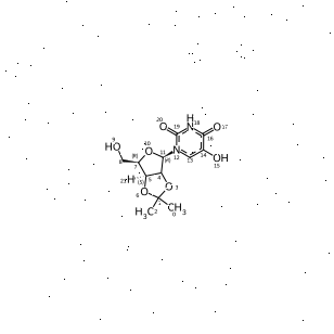 CC1(C)OC2[C@@H](O1)[C@@H](CO)O[C@H]2n1cc(O)c(=O)[nH]c1=O